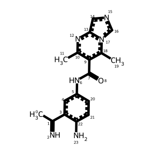 CC(=N)c1cc(NC(=O)c2c(C)nc3cncn3c2C)ccc1N